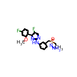 CCS(=O)(Cc1cccc(Nc2ncc(F)c(-c3ccc(F)cc3OC)n2)c1)=NN